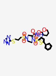 Cn1cnnc1SCCCS(=O)(=O)N1CCN(S(=O)(=O)c2ccc(-c3ccccc3)s2)[C@@H](C(=O)NOC2CCCCO2)C1